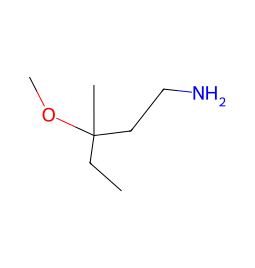 CCC(C)(CCN)OC